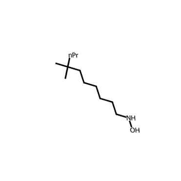 CCCC(C)(C)CCCCCCNO